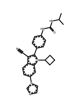 CC(C)NC(=O)Nc1ccc(-c2c(C#N)c3ccc(-n4ccnc4)cc3n2C2CCC2)cc1